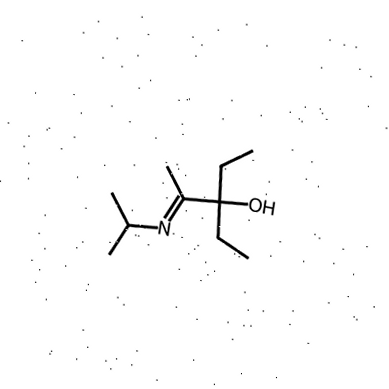 CCC(O)(CC)C(C)=NC(C)C